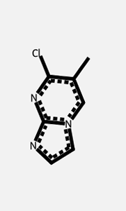 Cc1cn2ccnc2nc1Cl